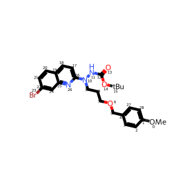 COc1ccc(COCCCN(NC(=O)OC(C)(C)C)c2ccc3ccc(Br)cc3n2)cc1